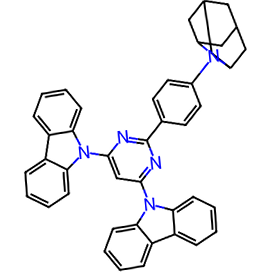 c1ccc2c(c1)c1ccccc1n2-c1cc(-n2c3ccccc3c3ccccc32)nc(-c2ccc(N3C4CC5CC(C4)CC3C5)cc2)n1